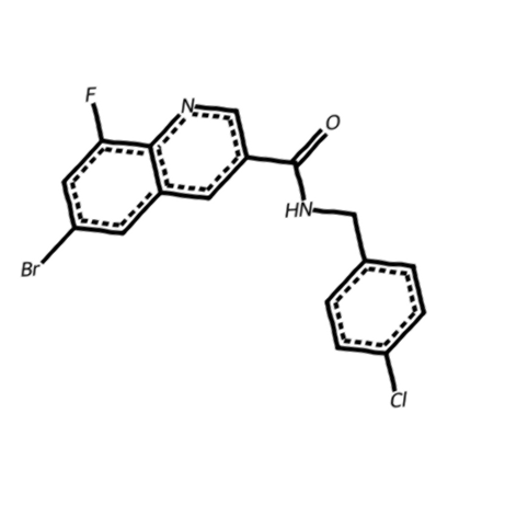 O=C(NCc1ccc(Cl)cc1)c1cnc2c(F)cc(Br)cc2c1